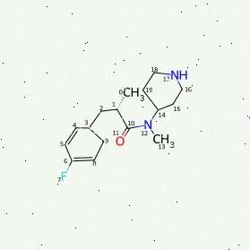 C[C@@H](CC1C=CC(F)=CC1)C(=O)N(C)C1CCNCC1